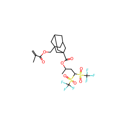 C=C(C)C(=O)OCC12CC3CC(C1)CC(C(=O)OC(C)CC(S(=O)(=O)C(F)(F)F)S(=O)(=O)C(F)(F)F)(C3)C2